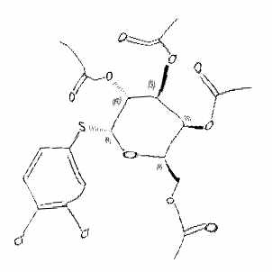 CC(=O)OC[C@H]1O[C@H](Sc2ccc(Cl)c(Cl)c2)[C@H](OC(C)=O)[C@@H](OC(C)=O)[C@H]1OC(C)=O